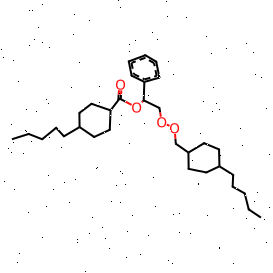 CCCCCC1CCC(COOCC(OC(=O)C2CCC(CCCCC)CC2)c2ccccc2)CC1